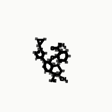 CC(=O)N1c2ccc(-c3cnn(C4CC4)c3)c(Oc3ncccc3C(N)=O)c2CC[C@@H]1C